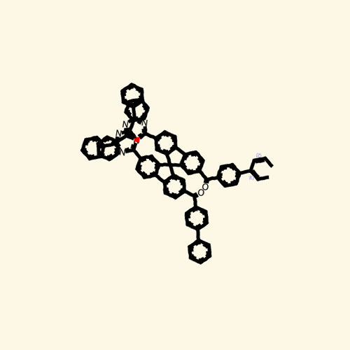 C/C=C\C(=C/C)c1ccc(C(=O)c2ccc3c(c2)C2(c4cc(C(=O)c5ccc(-c6ccccc6)cc5)ccc4-c4ccc(-c5nc(-c6ccccc6)nc(-c6ccccc6)n5)cc42)c2cc(-c4nc(-c5ccccc5)nc(-c5ccccc5)n4)ccc2-3)cc1